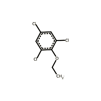 [CH2]COc1c(Cl)cc(Cl)cc1Cl